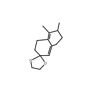 CC1=C2CCC3(C=C2CCC1C)OCCO3